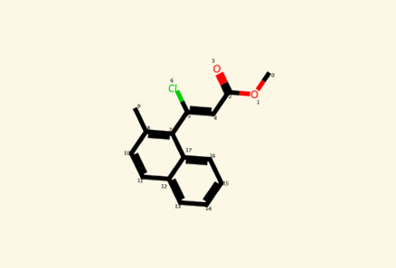 COC(=O)C=C(Cl)c1c(C)ccc2ccccc12